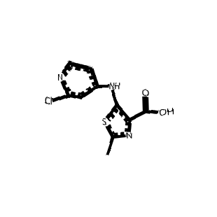 Cc1nc(C(=O)O)c(Nc2ccnc(Cl)c2)s1